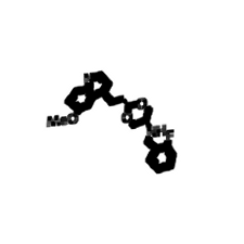 COc1ccc2nccc(CC[C@H]3OC[C@H](NCc4ccccc4F)CO3)c2c1